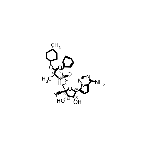 C[C@H](N[P@@](=O)(OC[C@@]1(C#N)O[C@@H](c2ccc3c(N)ncnn23)[C@H](O)[C@@H]1O)Oc1ccccc1)C(=O)O[C@H]1CC[C@H](C)CC1